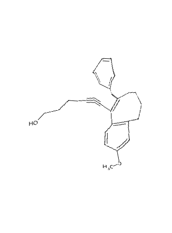 COc1ccc2c(c1)CCCC(c1ccccc1)=C2C#CCCCO